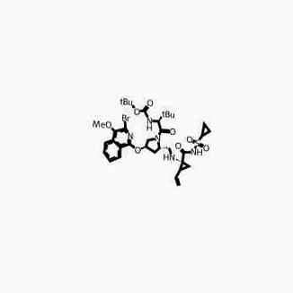 C=CC1C[C@]1(NC[C@@H]1C[C@@H](Oc2nc(Br)c(OC)c3ccccc23)CN1C(=O)[C@@H](NC(=O)OC(C)(C)C)C(C)(C)C)C(=O)NS(=O)(=O)C1CC1